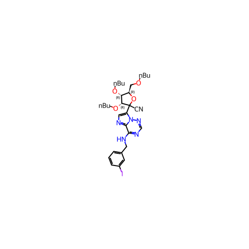 CCCCOC[C@H]1OC(C#N)(c2cnc3c(NCc4cccc(I)c4)ncnn23)[C@H](OCCCC)[C@@H]1OCCCC